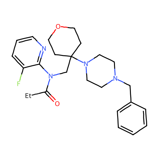 CCC(=O)N(CC1(N2CCN(Cc3ccccc3)CC2)CCOCC1)c1ncccc1F